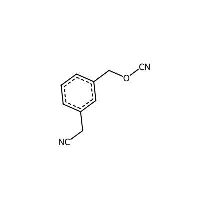 N#CCc1cccc(COC#N)c1